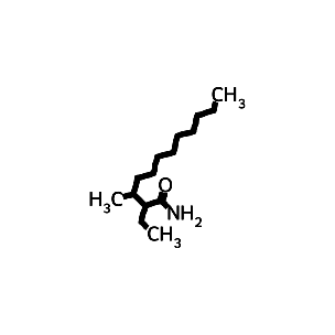 CCCCCCCCCC(C)C(CC)C(N)=O